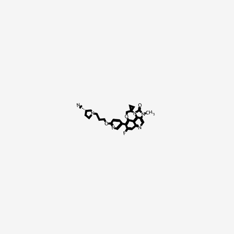 Cn1c(=O)n2c3c4c(c(-c5ccc(OCCCN6CC[C@H](C#N)C6)nc5)c(F)cc4ncc31)OCC21CC1